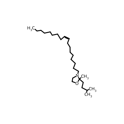 CCCCCCCC/C=C\CCCCCCCCN1CCOC1(C)CCC(C)C